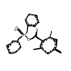 Cc1cc(C)c(C(=O)OP(=O)(c2ccccc2)c2ccccc2)c(C)c1